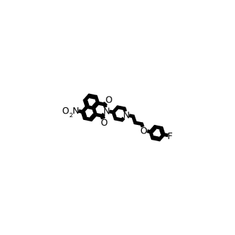 O=C1c2cccc3c([N+](=O)[O-])ccc(c23)C(=O)N1C1CCN(CCCOc2ccc(F)cc2)CC1